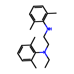 CCN(CCNc1c(C)cccc1C)c1c(C)cccc1C